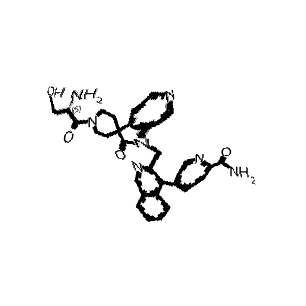 NC(=O)c1ccc(-c2c(CN3C(=O)C4(CCN(C(=O)[C@@H](N)CO)CC4)c4ccncc43)ncc3ccccc23)cn1